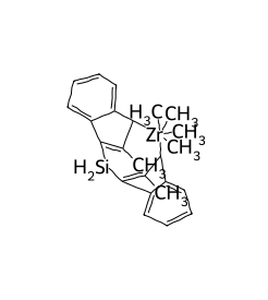 CC1=C2[SiH2]C3=C(C)[CH](c4ccccc43)[Zr]([CH3])([CH3])([CH3])([CH3])[CH]1c1ccccc12